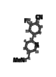 CNCc1ccc(-c2ccc(C#N)c(F)c2)nc1